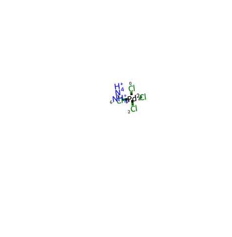 [Cl][Pd-2]([Cl])([Cl])[Cl].[NH4+].[NH4+]